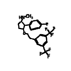 CNC1CCC(OCCc2cc(C(F)(F)F)cc(C(F)(F)F)c2)C1c1ccc(F)cc1